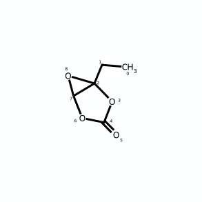 CCC12OC(=O)OC1O2